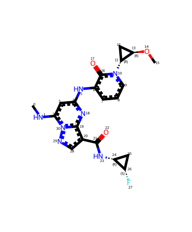 CNc1cc(Nc2cccn([C@@H]3C[C@H]3OC)c2=O)nc2c(C(=O)N[C@@H]3C[C@@H]3F)cnn12